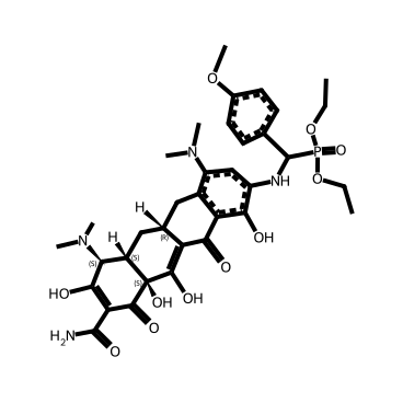 CCOP(=O)(OCC)C(Nc1cc(N(C)C)c2c(c1O)C(=O)C1=C(O)[C@]3(O)C(=O)C(C(N)=O)=C(O)[C@@H](N(C)C)[C@@H]3C[C@@H]1C2)c1ccc(OC)cc1